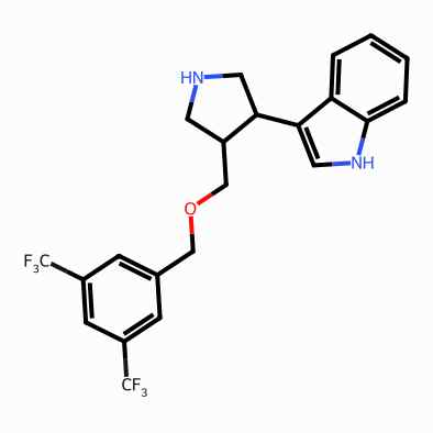 FC(F)(F)c1cc(COCC2CNCC2c2c[nH]c3ccccc23)cc(C(F)(F)F)c1